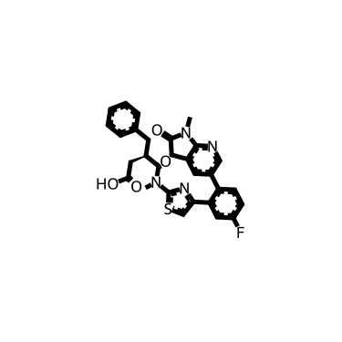 CN(C(=O)[C@@H](CC(=O)O)Cc1ccccc1)c1nc(-c2cc(F)ccc2-c2cnc3c(c2)CC(=O)N3C)cs1